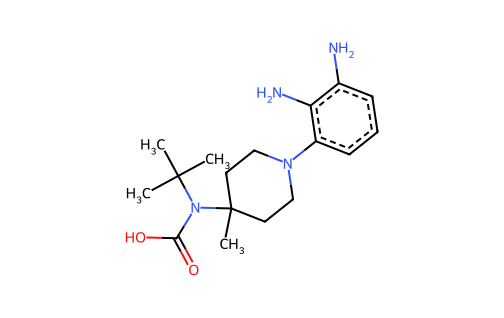 CC(C)(C)N(C(=O)O)C1(C)CCN(c2cccc(N)c2N)CC1